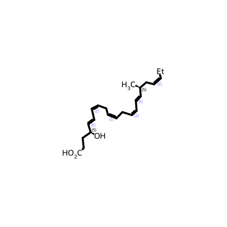 CC/C=C\C[C@H](C)/C=C/C=C\C/C=C\C/C=C\C=C\[C@@H](O)CCC(=O)O